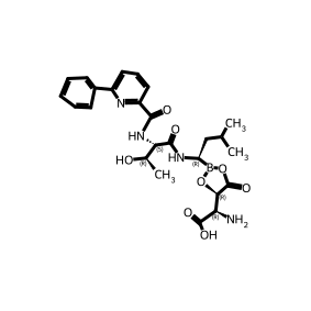 CC(C)C[C@H](NC(=O)[C@@H](NC(=O)c1cccc(-c2ccccc2)n1)[C@@H](C)O)B1OC(=O)[C@@H]([C@@H](N)C(=O)O)O1